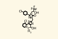 CC(O)c1nc(Cn2nc(-c3ccc(Cl)cc3)n(CC(O)C(F)(F)F)c2=O)nn1-c1ncccc1Cl